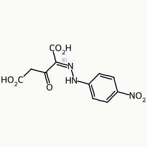 O=C(O)CC(=O)/C(=N\Nc1ccc([N+](=O)[O-])cc1)C(=O)O